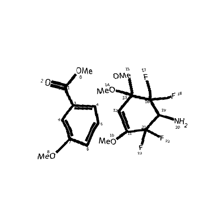 COC(=O)c1cccc(OC)c1.COC1=CC(OC)(OC)C(F)(F)C(N)C1(F)F